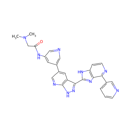 CN(C)CC(=O)Nc1cncc(-c2cnc3[nH]nc(-c4nc5c(-c6cccnc6)nccc5[nH]4)c3c2)c1